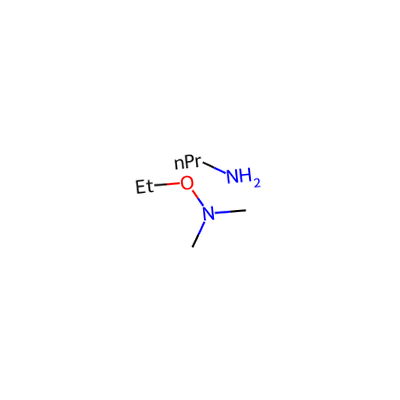 CCCN.CCON(C)C